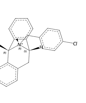 C[C@@]12c3ccccc3C[C@@H](c3ccccc31)[N@@+]2(C)Cc1ccc(Cl)cc1